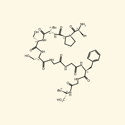 CC[C@H](C)[C@H](NC(=O)CNC(=O)[C@H](Cc1ccccc1)NC(=O)CNC(=O)CNC(=O)[C@H](CO)NC(=O)[C@H](CO)NC(=O)[C@@H](NC(=O)[C@@H]1CCCN1C(=O)[C@@H](N)C(C)C)[C@@H](C)CC)C(=O)O